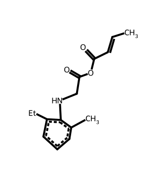 C/C=C/C(=O)OC(=O)CNc1c(C)cccc1CC